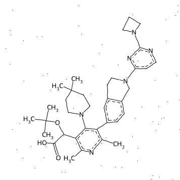 Cc1nc(C)c(C(OC(C)(C)C)C(=O)O)c(N2CCC(C)(C)CC2)c1-c1ccc2c(c1)CCN(c1ccnc(N3CCC3)n1)C2